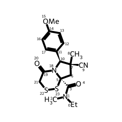 CCN(C)C(=O)[C@@]12C[C@](C)(C#N)[C@H](c3ccc(OC)cc3)N1C(=O)CSS2